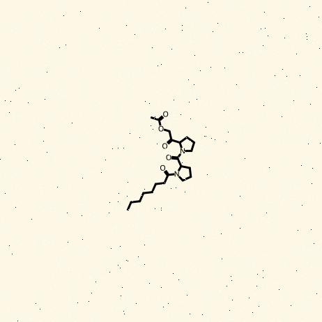 CCCCCCCC(=O)N1CCCC1C(=O)N1CCCC1C(=O)COC(C)=O